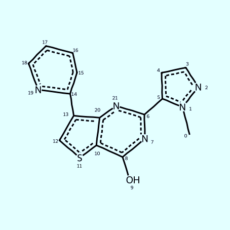 Cn1nccc1-c1nc(O)c2scc(-c3ccccn3)c2n1